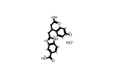 Cl.O=C(O)CC(Cc1nc2cc(C(=O)O)ccc2[nH]1)c1ccc(Cl)cc1